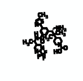 Cc1cnc(-c2cc(C(=O)N[C@H](C)c3cnc(C(F)(F)F)nc3)cc([C@H](CN)C(C)(C)C3CCN(C(=O)O)CC3)c2)s1